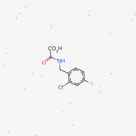 O=C(O)C(=O)NCc1ccc(F)cc1Cl